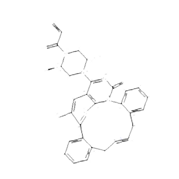 C=CC(=O)N1C[C@H](C)N(c2nc(=O)n3c4nc(c(Cl)cc24)-c2ccccc2C/C=C/Cc2ccccc2-3)C[C@H]1C